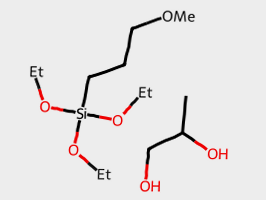 CC(O)CO.CCO[Si](CCCOC)(OCC)OCC